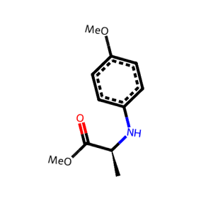 COC(=O)[C@H](C)Nc1ccc(OC)cc1